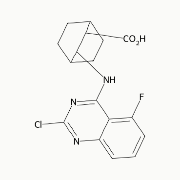 O=C(O)C1C2CCC(CC2)C1Nc1nc(Cl)nc2cccc(F)c12